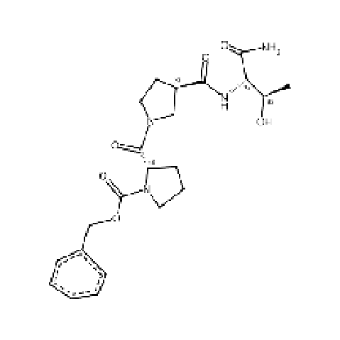 C[C@@H](O)[C@H](NC(=O)[C@@H]1CCN(C(=O)[C@@H]2CCCN2C(=O)OCc2ccccc2)C1)C(N)=O